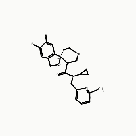 Cc1cccc(CN(C(=O)C2CNCC[C@@]23OCc2cc(F)c(F)cc23)C2CC2)n1